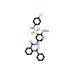 COc1ncc(NC(=O)c2ccccc2C(=O)c2ccccc2)cc1S(=O)(=O)Nc1ccc(Cl)cc1